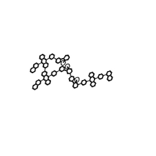 c1cc(-c2ccc3oc4ccccc4c3c2)cc(-c2c3ccccc3c(-c3ccc4ccccc4c3)c3cc(-c4ccc5c(-c6ccc7ccccc7c6)c6ccccc6c(-c6ccc(-c7ccc8oc9ccc(-c%10ccc%11c(c%10)oc%10c(-c%12ccc(-c%13c%14ccccc%14c(-c%14ccc(-c%15cccc%16ccccc%15%16)cc%14)c%14ccccc%13%14)cc%12)cccc%10%11)cc9c8c7)cc6)c5c4)ccc23)c1